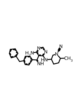 CC1CCC(Nc2ncnc(N)c2C(=N)c2ccc(Cc3ccccc3)cc2)CN1C#N